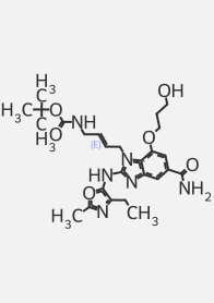 CCc1nc(C)oc1Nc1nc2cc(C(N)=O)cc(OCCCO)c2n1C/C=C/CNC(=O)OC(C)(C)C